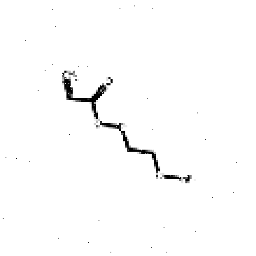 C=CC(=O)O[P]CCOCCC